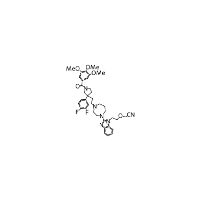 COc1cc(C(=O)N2CCC(CCN3CCCN(c4nc5ccccc5n4CCOCC#N)CC3)(c3ccc(F)c(F)c3)C2)cc(OC)c1OC